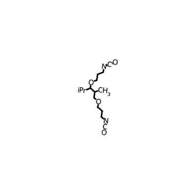 CC(C)C(OCCCN=C=O)C(C)COCCCN=C=O